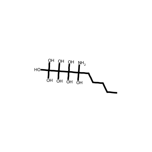 CCCCCC(N)(O)C(O)(O)C(O)(O)C(O)(O)O